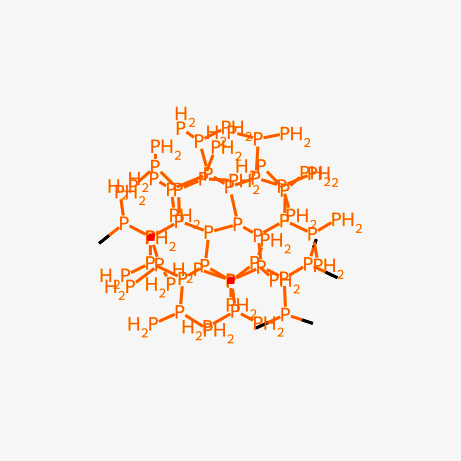 CP(C)P(P(C)C)P(P(P)P)P(P(P(P)P)P(P)P)P(P(P(P(P)P)P(P)P)P(P(P)P)P(P)P)P(P(P(P(C)P)P(P)P)P(P(P)P)P(P)P)P(P(P(P)P)P(P)P)P(P(P)P)P(P)P